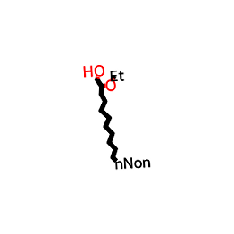 CCCCCCCCCCCCCCCCCCC(CO)OCC